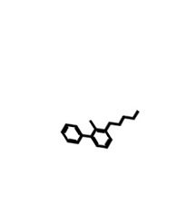 CCCCCc1cccc(-c2ccccc2)c1C